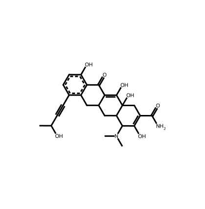 CC(O)C#Cc1ccc(O)c2c1CC1CC3C(N(C)C)C(O)=C(C(N)=O)CC3(O)C(O)=C1C2=O